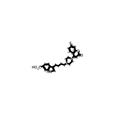 O=C(O)c1ccc2c(CCCCN3CCN(c4cc(=O)oc5cc(F)ccc45)CC3)c[nH]c2c1